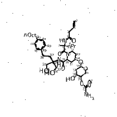 C=CCC(=O)N[C@](C)(CCC)C(=O)N1CC[C@@H](O[C@@H]2C[C@@H](O)[C@H](OC(N)=O)CO2)CC1C(=O)NC(CO)(CO)CCc1ccc(CCCCCCCC)cc1